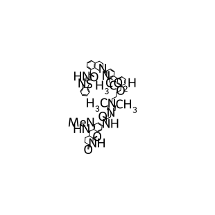 CNc1cc(NC(=O)CN2CC(C)N(CCCOc3cccc(-c4ccc(N5CCc6cccc(C(=O)Nc7nc8ccccc8s7)c6C5)nc4C(=O)O)c3C)C(C)C2)ccc1C(=N)C1CCC(=O)NC1=O